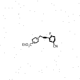 CCOC(=O)N1CCN(CC#Cc2cc(C#N)ccc2F)CC1